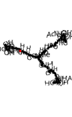 CNC(COCCC(=O)NCCCNC(=O)CCCCO[C@@H]1OC(CO)[C@@H](C)C(O)[C@@H]1NC(C)=O)(COCCC(=O)NCCCNC(=O)CCCCO[C@@H]1OC(CO)[C@@H](O)C(O)[C@@H]1NC(C)=O)COCCC(=O)NCCCNC(=O)CCCCO[C@@H]1OC(CO)[C@@H](O)C(O)[C@@H]1NC(C)=O